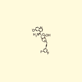 COc1ccc2nccc([C@H](N)CC[C@@H]3CCN(CC#Cc4cc(F)cc(F)c4)C[C@@H]3C(=O)O)c2c1